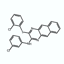 Clc1cccc(Nc2nc3cc4ccccc4cc3nc2Sc2ccccc2Cl)c1